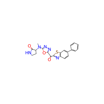 CN(c1nnc(C(=O)c2nc3ccc(-c4ccccc4)cc3s2)o1)C1CCNC1=O